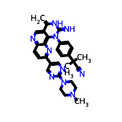 C=C1NC(=N)N(c2ccc(C(C)(C)C#N)cc2)c2c1cnc1ccc(-c3cnc(N4CCN(C)CC4)nc3)nc21